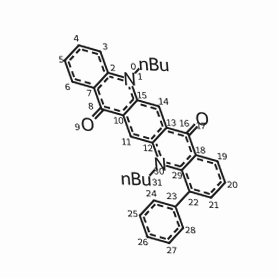 CCCCn1c2ccccc2c(=O)c2cc3c(cc21)c(=O)c1cccc(-c2ccccc2)c1n3CCCC